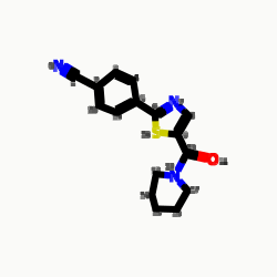 N#Cc1ccc(-c2ncc(C(=O)N3CCCCC3)s2)cc1